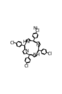 Clc1ccc(-c2c3nc(c(-c4ccc(Cl)cc4)c4ccc([nH]4)c(-c4ccc(Cl)cc4)c4nc(c(-c5ccc(Cl)cc5)c5ccc2[nH]5)C=C4)C=C3)cc1.[Ni]